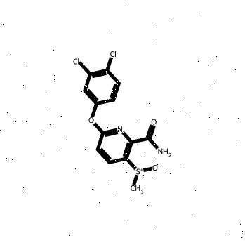 C[S+]([O-])c1ccc(Oc2ccc(Cl)c(Cl)c2)nc1C(N)=O